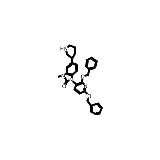 Cn1c(=O)n(-c2ccc(OCc3ccccc3)nc2OCc2ccccc2)c2ccc(C3CCCNC3)cc21